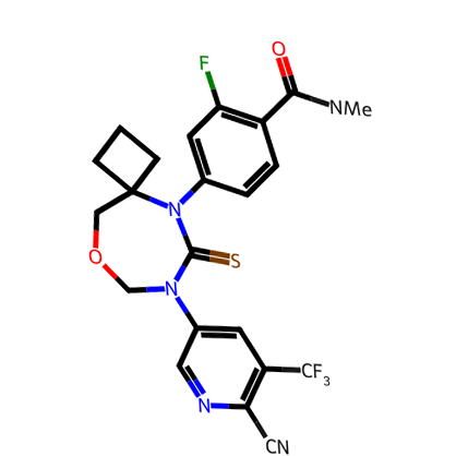 CNC(=O)c1ccc(N2C(=S)N(c3cnc(C#N)c(C(F)(F)F)c3)COCC23CCC3)cc1F